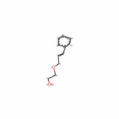 OCCOCC=Cc1ccccc1